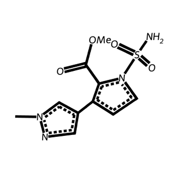 COC(=O)c1c(-c2cnn(C)c2)ccn1S(N)(=O)=O